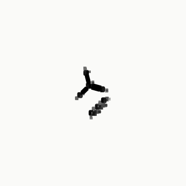 [Cd+2].[Cd+2].[O-2].[O]=[Sn]([O-])[O-]